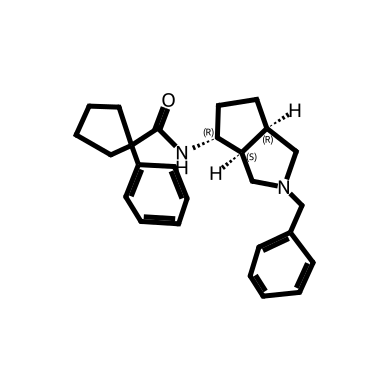 O=C(N[C@@H]1CC[C@H]2CN(Cc3ccccc3)C[C@H]21)C1(c2ccccc2)CCCC1